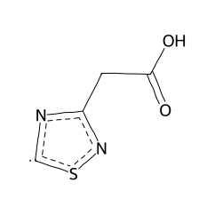 O=C(O)Cc1n[c]sn1